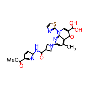 COC(=O)c1ccc(NC(=O)C2CN(c3cc(C)c4c(=O)c(C(O)O)cn(-c5nccs5)c4n3)C2)nc1